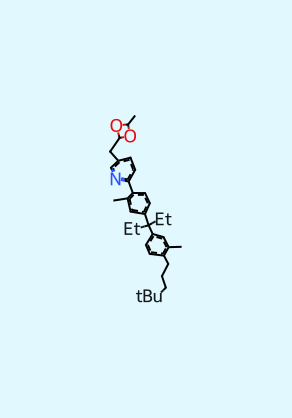 CCC(CC)(c1ccc(CCCC(C)(C)C)c(C)c1)c1ccc(-c2ccc(CC3OC(C)O3)cn2)c(C)c1